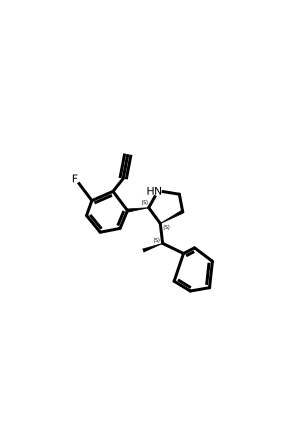 C#Cc1c(F)cccc1[C@H]1NCC[C@H]1[C@H](C)c1ccccc1